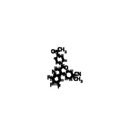 C[S+]([O-])N1CCN(C(=O)c2cnc3c(F)c(F)c(F)cc3c2N2CCC(C)(C#N)CC2)CC1